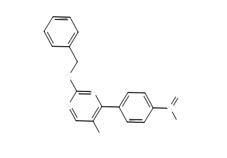 Cc1cnc(NCc2ccccc2)nc1-c1ccc([N+](=O)[O-])cc1